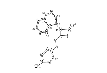 O=C1CC(CCc2ccc(Cl)cc2)N1c1cccc2cccnc12